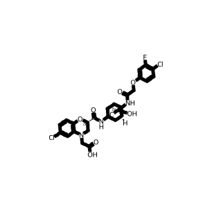 O=C(O)CN1C[C@@H](C(=O)NC23CCC(NC(=O)COc4ccc(Cl)c(F)c4)(CC2)[C@@H](O)C3)Oc2ccc(Cl)cc21